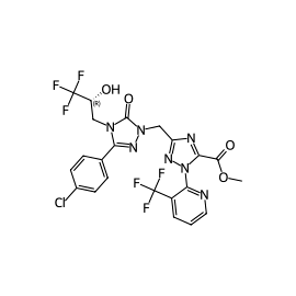 COC(=O)c1nc(Cn2nc(-c3ccc(Cl)cc3)n(C[C@@H](O)C(F)(F)F)c2=O)nn1-c1ncccc1C(F)(F)F